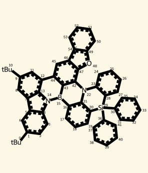 CC(C)(C)c1ccc2c(c1)c1cc(C(C)(C)C)cc3c1n2B1c2cccc4c2N(c2ccccc2[Si]4(c2ccccc2)c2ccccc2)c2c1c-3cc1c2oc2ccccc21